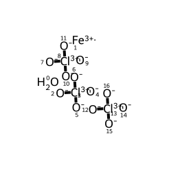 O.[Fe+3].[O-][Cl+3]([O-])([O-])[O-].[O-][Cl+3]([O-])([O-])[O-].[O-][Cl+3]([O-])([O-])[O-]